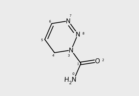 NC(=O)N1CC=CN=N1